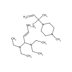 C=C[Si](C)(C)N1CCN(C)CC1.CCN(CC)C(C=C[SiH3])N(CC)CC